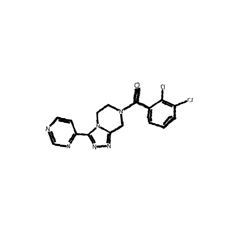 O=C(c1cccc(Cl)c1Cl)N1CCn2c(nnc2-c2ccncn2)C1